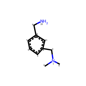 CN(C)Cc1c[c]cc(CN)c1